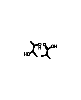 CC(C)C(=O)O.CC(O)C(C)O